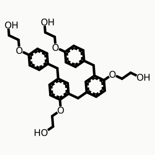 OCCOc1ccc(Cc2ccc(OCCO)c(Cc3ccc(OCCO)c(Cc4ccc(OCCO)cc4)c3)c2)cc1